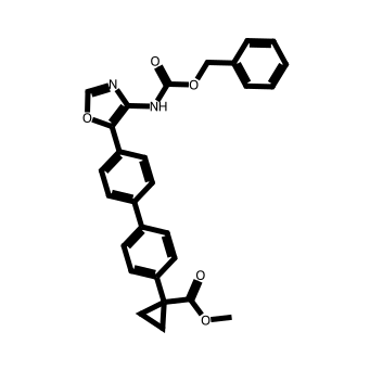 COC(=O)C1(c2ccc(-c3ccc(-c4ocnc4NC(=O)OCc4ccccc4)cc3)cc2)CC1